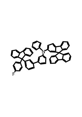 Fc1ccc(C2(c3cccc(-c4cccc(N(c5ccccc5)c5ccc6c(c5)C5(c7ccccc7-c7ccccc75)c5ccccc5-6)c4)c3)c3ccccc3-c3ccccc32)cc1